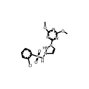 COc1nc(OC)nc(N2C=CN(NS(=O)(=O)c3ccccc3Cl)N2)n1